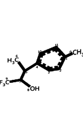 Cc1ccc(C(C)C(O)C(F)(F)F)cc1